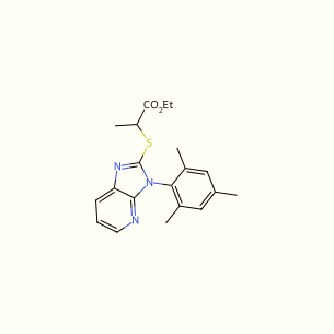 CCOC(=O)C(C)Sc1nc2cccnc2n1-c1c(C)cc(C)cc1C